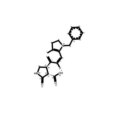 C=C(/C(F)=C\C1=C(C)CCN1Cc1ccccc1)[C@@H]1CNC(=O)[C@H]1C(=O)O